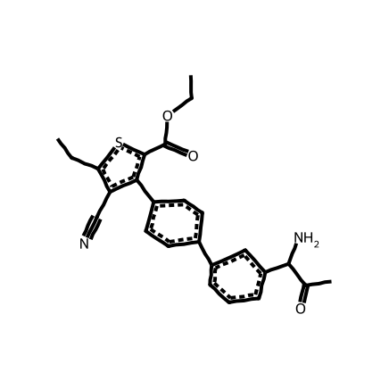 CCOC(=O)c1sc(CC)c(C#N)c1-c1ccc(-c2cccc(C(N)C(C)=O)c2)cc1